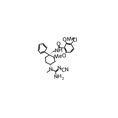 COc1ccc(Cl)c(OC)c1C(=O)NC[C@]1(c2ccccc2)CC[C@H](N(C)C(N)=NC#N)CC1